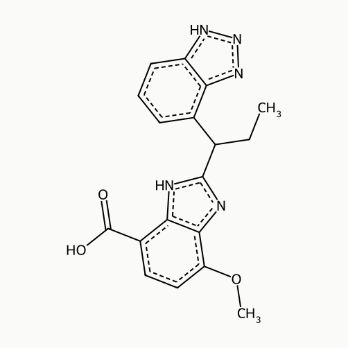 CCC(c1nc2c(OC)ccc(C(=O)O)c2[nH]1)c1cccc2[nH]nnc12